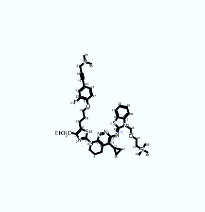 CCOC(=O)c1nc(N2CCCc3c2nnc(/N=c2\sc4ccccc4n2COCC[Si](C)(C)C)c3C2CC2)sc1CCCOc1ccc(C#CCN(C)C)cc1F